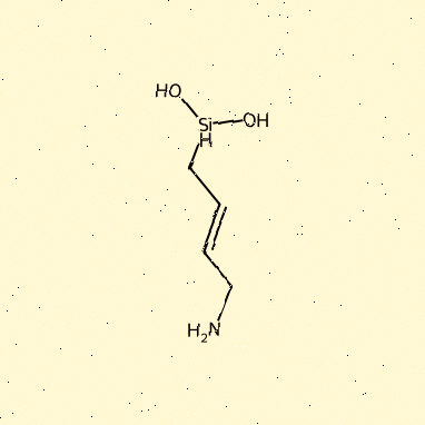 NCC=CC[SiH](O)O